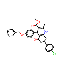 COC(=O)C1=C(C)NC2=C(C(=O)CC(c3ccc(Cl)cc3)C2)C1c1ccc(OCC2=CC=CCC2)cc1